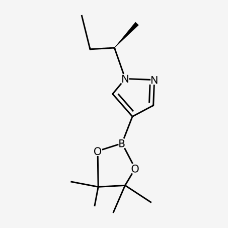 CC[C@@H](C)n1cc(B2OC(C)(C)C(C)(C)O2)cn1